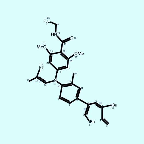 C=C/C(=C\C(=C/C(C)CC)c1ccc(N(/C=C(/C)CC)c2cc(OC)c(C(=O)NCC(F)(F)F)c(OC)c2)c(C)c1)C(C)CC